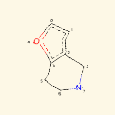 c1cc2c(o1)CC[N]C2